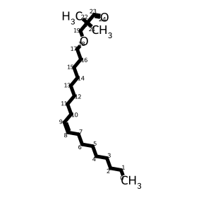 CCCCCCCC/C=C\CCCCCCCCOCC(C)(C)C=O